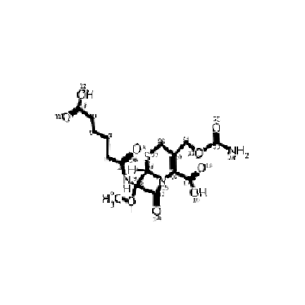 CO[C@@]1(NC(=O)CCCCC(=O)O)C(=O)N2C(C(=O)O)=C(COC(N)=O)CS[C@H]21